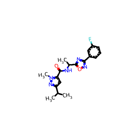 CC(C)c1cc(C(=O)NC(C)c2nc(-c3cccc(F)c3)no2)n(C)n1